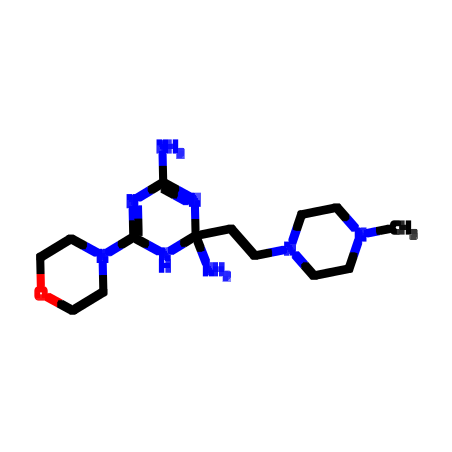 CN1CCN(CCC2(N)N=C(N)N=C(N3CCOCC3)N2)CC1